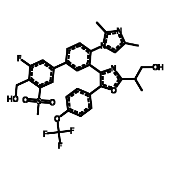 Cc1cn(-c2ccc(-c3cc(F)c(CO)c(S(C)(=O)=O)c3)cc2-c2nc(C(C)CO)oc2-c2ccc(OC(F)(F)F)cc2)c(C)n1